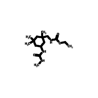 CCOC(=O)NCC1(C)CC(NC(=O)NC)CC(C)(C)C1